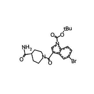 CC(C)(C)OC(=O)n1cc(C(=O)N2CCC(C(N)=O)CC2)c2cc(Br)ccc21